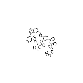 CCOC(=O)CC1(c2ccc(OCc3ccc4scc(-c5ccccc5C)c4c3)c(OC(C)=O)c2)CCC1